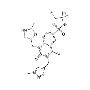 CC1NCC(Cn2c(=O)n(Cc3cnn(C)c3)c(=O)c3cc(S(=O)(=O)NC4(CF)CC4)ccc32)O1